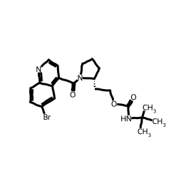 CC(C)(C)NC(=O)OCC[C@H]1CCCN1C(=O)c1ccnc2ccc(Br)cc12